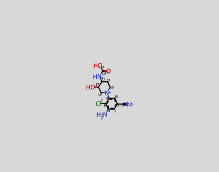 N#Cc1cc(N)c(Cl)c(N2CCC(NC(=O)O)C(O)C2)c1